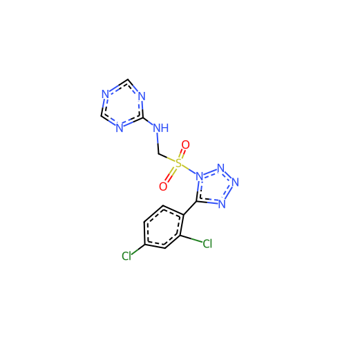 O=S(=O)(CNc1ncncn1)n1nnnc1-c1ccc(Cl)cc1Cl